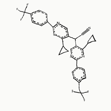 N#CC(c1cnc(-c2ccc(C(F)(F)F)cc2)nc1C1CC1)c1cnc(-c2ccc(C(F)(F)F)cc2)nc1C1CC1